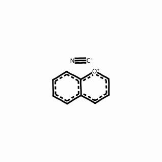 [C-]#N.c1ccc2[o+]cccc2c1